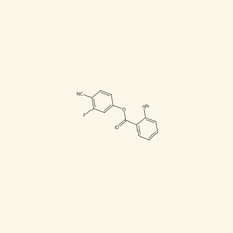 CCCc1ccccc1C(=O)Oc1ccc(C#N)c(F)c1